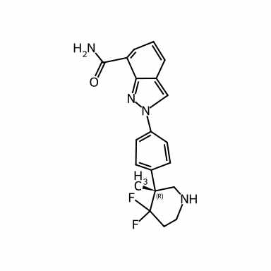 C[C@@]1(c2ccc(-n3cc4cccc(C(N)=O)c4n3)cc2)CNCCC1(F)F